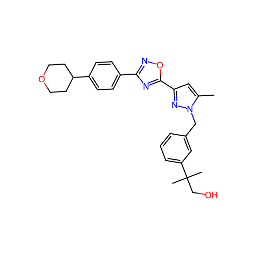 Cc1cc(-c2nc(-c3ccc(C4CCOCC4)cc3)no2)nn1Cc1cccc(C(C)(C)CO)c1